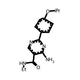 CCNC(=O)c1cnc(-c2ccc(OC(C)C)cc2)nc1N